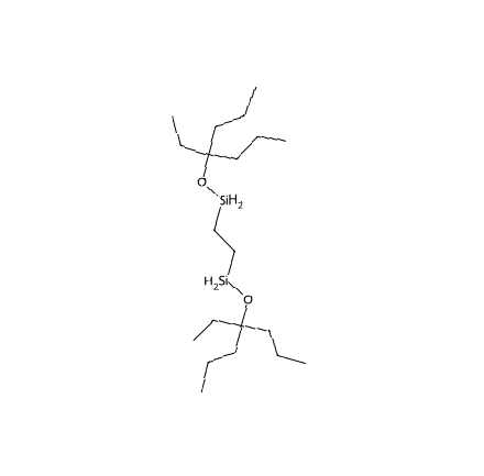 CCCC(CC)(CCC)O[SiH2]CC[SiH2]OC(CC)(CCC)CCC